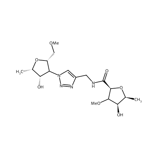 COC[C@H]1O[C@@H](C)[C@@H](O)C1n1cc(CNC(=O)[C@H]2O[C@@H](C)[C@@H](O)C2OC)nn1